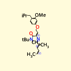 C\C=C/C=C(C)/C=N/C(=C/COc1ccc(CC(C)C)c(OC)c1)C(=O)N(C)C(C)(C)C